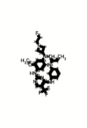 C=CC(=C)Nc1cccc(Nc2nc(Nc3ccc(NC4CN(CCF)C4)cc3OC)ncc2C(F)(F)F)c1